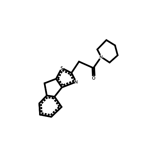 O=C(Cc1nc2c(s1)Cc1ccccc1-2)N1CCCCC1